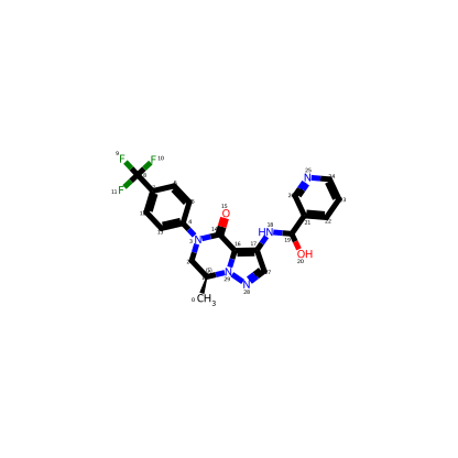 C[C@H]1CN(c2ccc(C(F)(F)F)cc2)C(=O)c2c(NC(O)c3cccnc3)cnn21